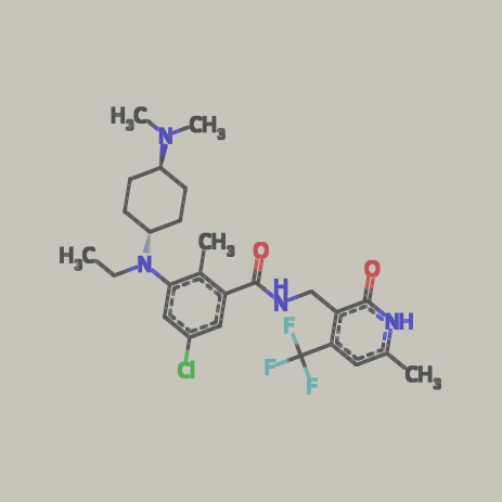 CCN(c1cc(Cl)cc(C(=O)NCc2c(C(F)(F)F)cc(C)[nH]c2=O)c1C)[C@H]1CC[C@H](N(C)C)CC1